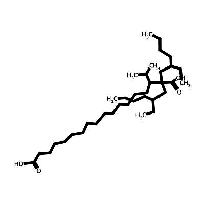 CCCCC(CC)CC(CC(CC)CCCC)(C(=O)O)C(CCCCCCCCCCCCCCC(=O)O)C(C)C